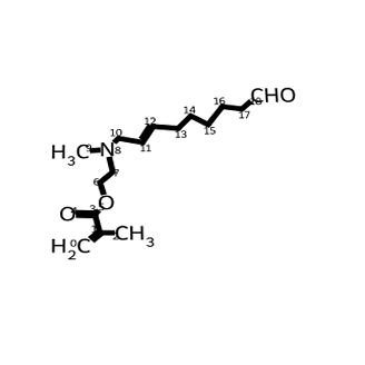 C=C(C)C(=O)OCCN(C)CC=CCCCCCC=O